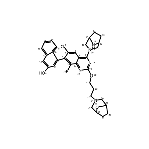 Oc1cc(-c2c(Cl)cc3c(N4CC5CCC(C4)N5)nc(OCCCN4CC5CCC(C4)O5)nc3c2F)c2ccccc2c1